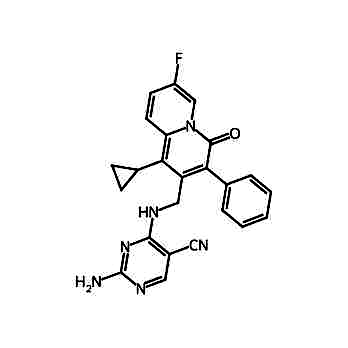 N#Cc1cnc(N)nc1NCc1c(-c2ccccc2)c(=O)n2cc(F)ccc2c1C1CC1